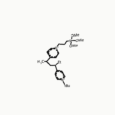 CCCC[n+]1ccc(C(CC)CC(C)c2cc[n+](CCC[Si](OC)(OC)OC)cc2)cc1